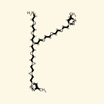 Cc1cn(CCOCCOCCOCCN(CCOCCOCCN)CCOCCOCCOCCn2cc(C)nn2)nn1